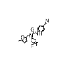 Cc1ccc(CN(C(=O)Nc2ccc(C#N)cc2)C2CC(F)(F)C2)o1